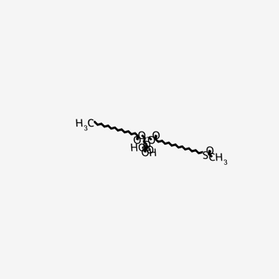 CCCCCCCCCCCCCCC(=O)O[C@H](COC(=O)CCCCCCCCCCCCCCSC(C)=O)COP(=O)(O)O